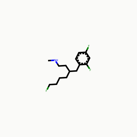 CNCCC(CCCCF)Cc1ccc(F)cc1F